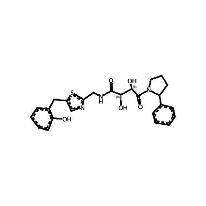 O=C(NCc1ncc(Cc2ccccc2O)s1)[C@H](O)[C@@H](O)C(=O)N1CCCC1c1ccccc1